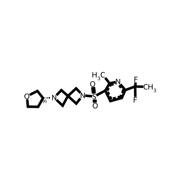 Cc1nc(C(C)(F)F)ccc1S(=O)(=O)N1CC2(CN([C@@H]3CCOC3)C2)C1